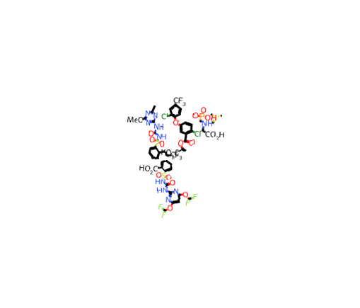 COc1nc(C)nc(NC(=O)NS(=O)(=O)c2ccccc2CCC(F)(F)F)n1.C[C@H](OC(=O)c1cc(Oc2ccc(C(F)(F)F)cc2Cl)ccc1Cl)C(=O)O.C[S+](C)C.O=C(Nc1nc(OC(F)F)cc(OC(F)F)n1)NS(=O)(=O)c1ccccc1C(=O)O.O=C(O)CNCP(=O)([O-])O